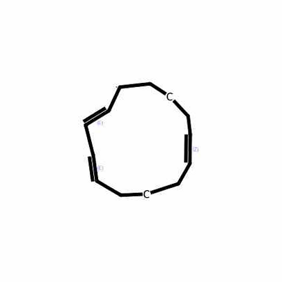 [CH]1/C=C/C=C/CCC/C=C\CCC1